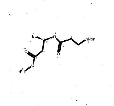 CCCCCCCCCCCC(=O)O[C@H](CC)CC(=O)OC(C)(C)C